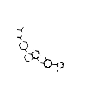 CC(C)OC(=O)N1CCC(N2CCOc3c(Nc4ccc(-c5nccn5C)cc4F)ncnc32)CC1